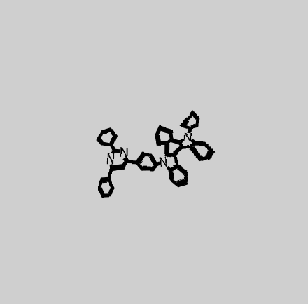 c1ccc(-c2cc(-c3ccc(-n4c5ccccc5c5c6c7ccccc7n(-c7ccccc7)c6c6ccccc6c54)cc3)nc(-c3ccccc3)n2)cc1